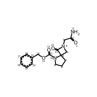 NC(=O)CN1CC2(CCCN2C(=O)OCc2ccccc2)C1=O